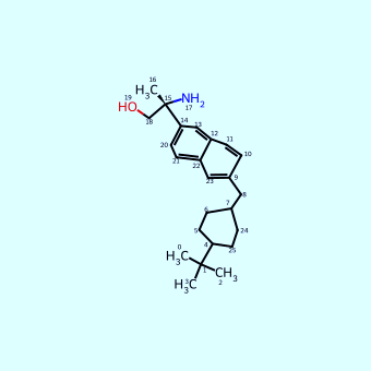 CC(C)(C)C1CCC(Cc2ccc3cc([C@@](C)(N)CO)ccc3c2)CC1